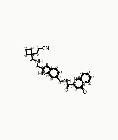 N#CCCC1(CNCc2cc3ccc(CNC(=O)c4cc(=O)n5ccccc5n4)cc3[nH]2)CCC1